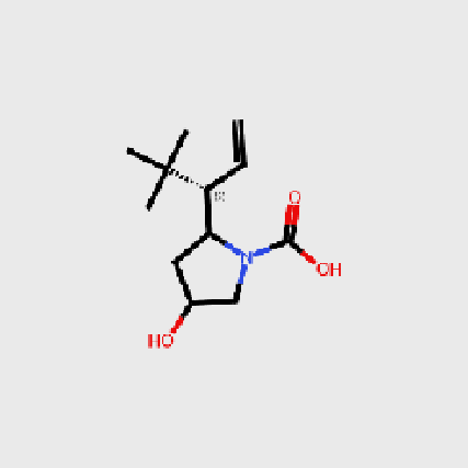 C=C[C@H](C1CC(O)CN1C(=O)O)C(C)(C)C